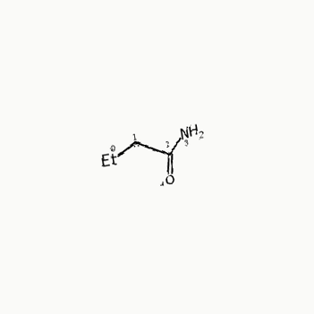 CC[C]C(N)=O